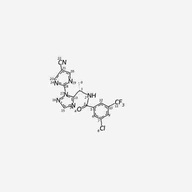 C[C@H](NC(=O)c1cc(Cl)cc(C(F)(F)F)c1)c1ncnn1-c1ncc(C#N)cn1